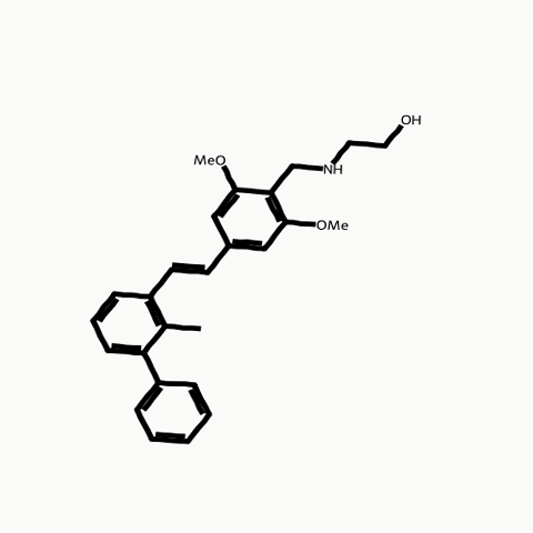 COc1cc(/C=C/c2cccc(-c3ccccc3)c2C)cc(OC)c1CNCCO